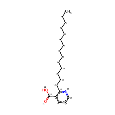 CCCCCCCCCCCCCCc1ncccc1C(=O)O